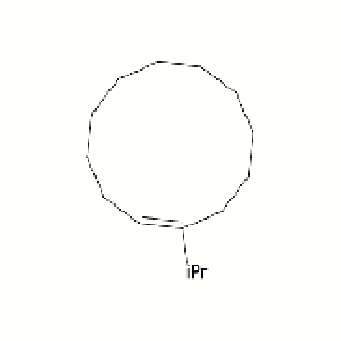 CC(C)C1=CCCCCCCCCCC1